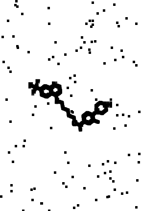 Cc1cc(C(C)OCCCCCSc2ccnc3cc(C(F)(F)F)ccc23)ccc1N1CCNCC1